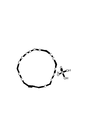 C1=CCCCCCCCCOOCCCCCCCCCC1.O=P(O)(O)O